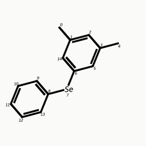 Cc1cc(C)cc([Se]c2ccccc2)c1